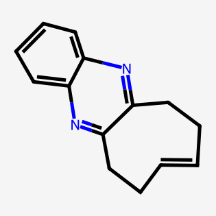 C1=C/CCc2nc3ccccc3nc2CC/1